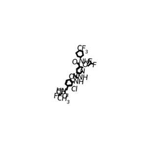 CC(C)(F)C(=O)NCc1ccc(Cl)c(Nc2nc3cc(C(=O)NC4CCC(C(F)(F)F)CC4)c(OCC(F)F)nc3[nH]2)c1Cl